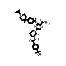 C[C@@H]1[C@H](NC(=O)c2ccc(C(C)(C)O)cc2)CCCN1c1cnc(C(N)=O)c(Nc2ccc(C3(C)CCN(C4CC4)CC3)cc2)n1